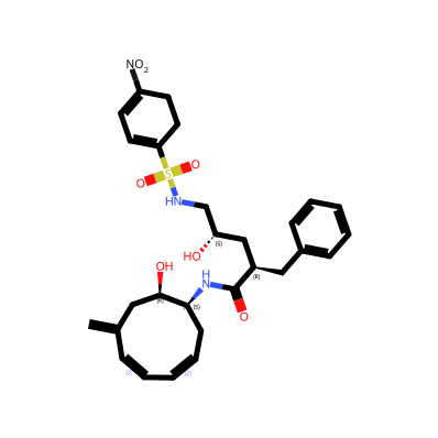 C=C1/C=C\C=C/C[C@H](NC(=O)[C@H](Cc2ccccc2)C[C@H](O)CNS(=O)(=O)C2=CC=C([N+](=O)[O-])CC2)[C@H](O)C1